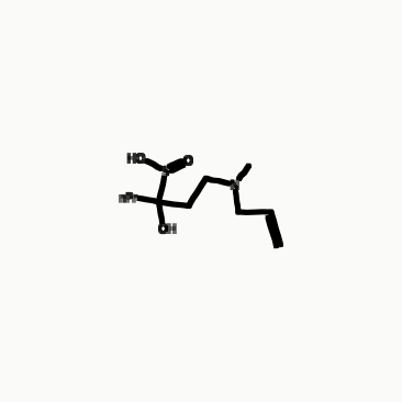 C=CCN(C)CCC(O)(CCC)S(=O)O